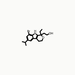 CCC1(CCO)OCCc2c1[nH]c1c(Br)cc(C(C)C)cc21